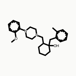 COc1ccccc1N1CCN(CC2CCCCC2(O)Cc2ccccc2C)CC1